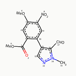 COC(=O)c1cc(OC)c([N+](=O)[O-])cc1-c1cnn(C)c1C=O